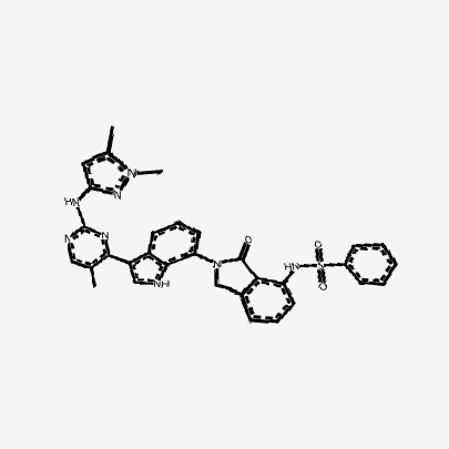 Cc1cnc(Nc2cc(C)n(C)n2)nc1-c1c[nH]c2c(N3Cc4cccc(NS(=O)(=O)c5ccccc5)c4C3=O)cccc12